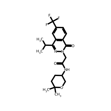 CC(C)c1nn(CC(=O)NC2CCC(C)(C)OC2)c(=O)c2ccc(C(F)(F)F)cc12